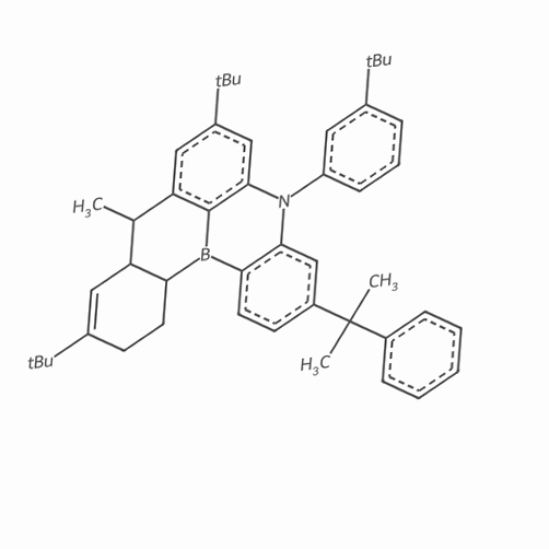 CC1c2cc(C(C)(C)C)cc3c2B(c2ccc(C(C)(C)c4ccccc4)cc2N3c2cccc(C(C)(C)C)c2)C2CCC(C(C)(C)C)=CC21